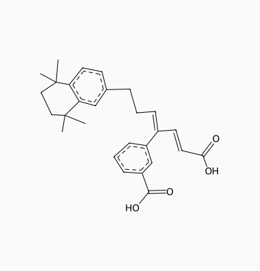 CC1(C)CCC(C)(C)c2cc(CCC=C(C=CC(=O)O)c3cccc(C(=O)O)c3)ccc21